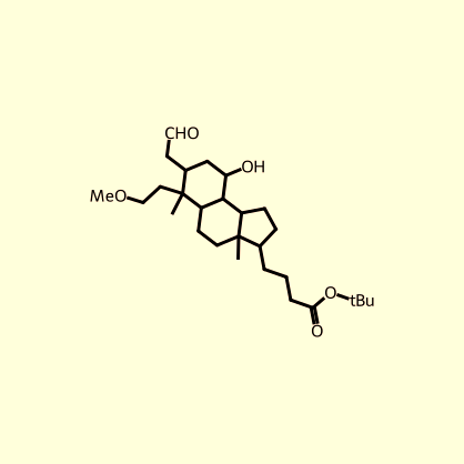 COCCC1(C)C(CC=O)CC(O)C2C3CCC(CCCC(=O)OC(C)(C)C)C3(C)CCC21